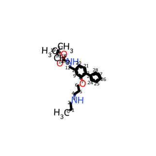 CCCNCCCOc1cc(CNC(=O)OC(C)(C)C)ccc1-c1ccccc1